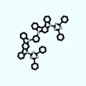 c1ccc(-c2nc(-c3ccccc3)nc(-n3c4ccccc4c4cc5c6ccccc6n(-c6cccc(-n7c8ccccc8c8c9c%10ccccc%10n(-c%10nc(-c%11ccccc%11)nc(-c%11ccccc%11)n%10)c9ccc87)c6)c5cc43)n2)cc1